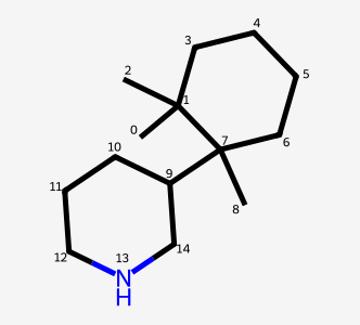 CC1(C)CCCCC1(C)C1CCCNC1